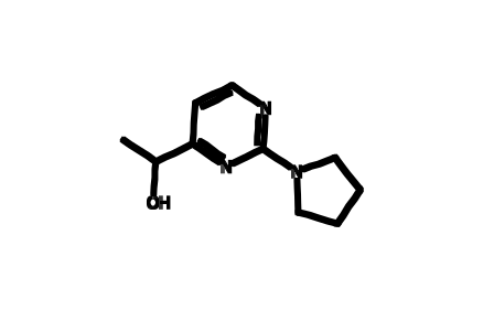 CC(O)c1ccnc(N2CCCC2)n1